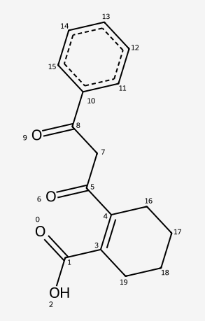 O=C(O)C1=C(C(=O)CC(=O)c2ccccc2)CCCC1